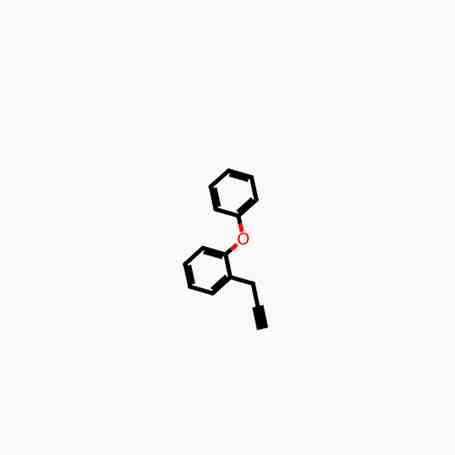 C#CCc1ccccc1Oc1ccccc1